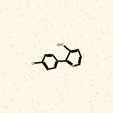 O=Cc1cccnc1-c1ccc(Cl)cc1